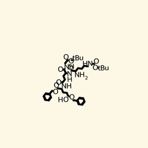 CC(C)(C)OC(=O)CNC(=O)C(CCC(=O)NC(CCC(O)OCc1ccccc1)C(=O)OCc1ccccc1)NC(=O)C(N)CCCCNC(=O)OC(C)(C)C